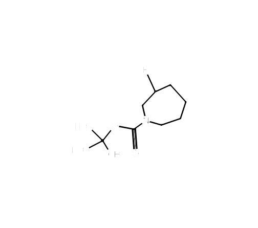 CC(C)(C)OC(=O)N1CCCCC(F)C1